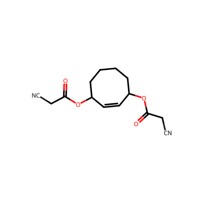 N#CCC(=O)OC1C=CC(OC(=O)CC#N)CCCC1